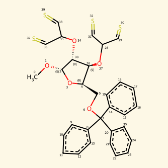 CO[C@H]1O[C@H](COC(c2ccccc2)(c2ccccc2)c2ccccc2)[C@H](OC(C=S)C=S)[C@H]1OC(C=S)C=S